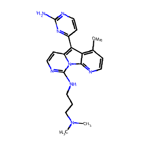 COc1ccnc2c1c(-c1ccnc(N)n1)c1ccnc(NCCCN(C)C)n12